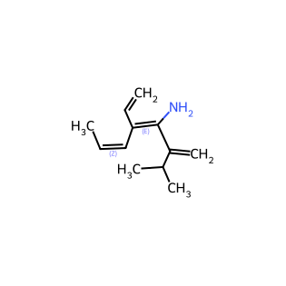 C=CC(/C=C\C)=C(\N)C(=C)C(C)C